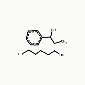 CCC(O)c1ccccc1.OCCCCCO